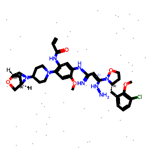 C=CC(=O)Nc1cc(NC(=N)/C=C(\NN)N2OCC[C@@H]2Cc2cccc(Cl)c2OC)c(OC)cc1N1CCC(N2C[C@H]3C[C@@H]2CO3)CC1